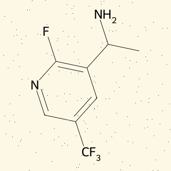 CC(N)c1cc(C(F)(F)F)cnc1F